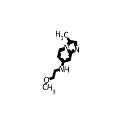 COCCNc1ccn2c(C)cnc2c1